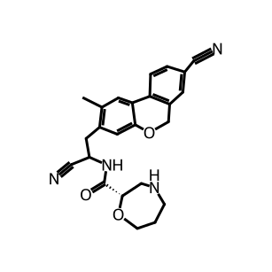 Cc1cc2c(cc1CC(C#N)NC(=O)[C@@H]1CNCCCO1)OCc1cc(C#N)ccc1-2